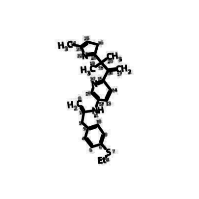 C=C(Cc1ccc(SCC)cc1)Nc1ccc(C(=C)C(C)(C)C2=NC(C)=CC2)nc1